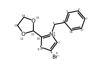 [Br-].c1ccc(C[n+]2ccsc2C2OCCO2)cc1